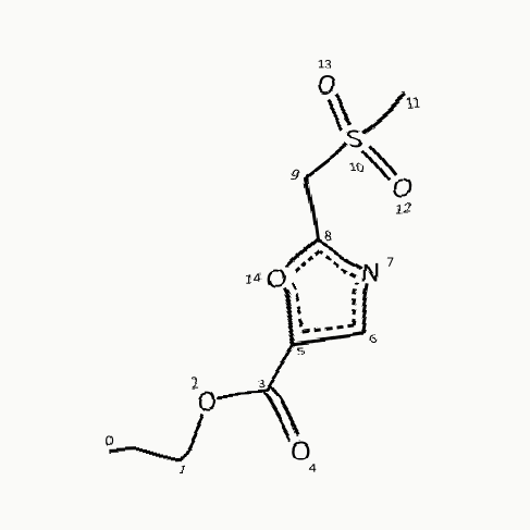 CCOC(=O)c1cnc(CS(C)(=O)=O)o1